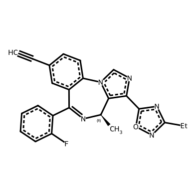 C#Cc1ccc2c(c1)C(c1ccccc1F)=N[C@H](C)c1c(-c3nc(CC)no3)ncn1-2